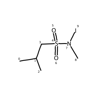 CC(C)CS(=O)(=O)N(C)I